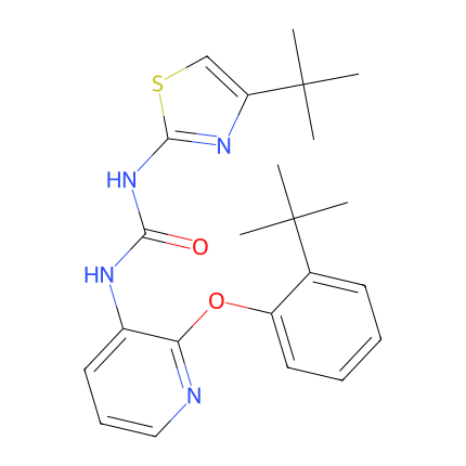 CC(C)(C)c1csc(NC(=O)Nc2cccnc2Oc2ccccc2C(C)(C)C)n1